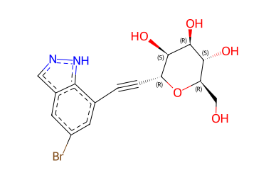 OC[C@H]1O[C@H](C#Cc2cc(Br)cc3cn[nH]c23)[C@@H](O)[C@@H](O)[C@@H]1O